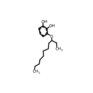 CCCCCCCCC(CC)Oc1cccc(O)c1O